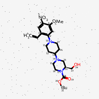 C=Cc1cc([N+](=O)[O-])c(OC)cc1N1CCC(N2CCN(C(=O)OC(C)(C)C)[C@H](CO)C2)CC1